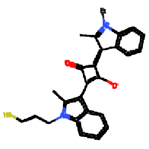 CC[N+]1=C(C)/C(=C2\C(=O)C(c3c(C)n(CCCS)c4ccccc34)=C2[O-])c2ccccc21